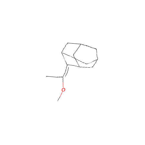 COC(C)=C1C2CC3CC(C2)CC1C3